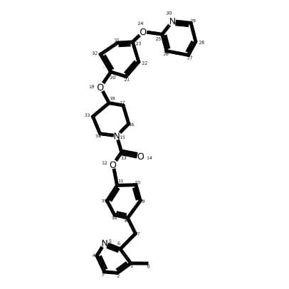 Cc1cccnc1Cc1ccc(OC(=O)N2CCC(Oc3ccc(Oc4ccccn4)cc3)CC2)cc1